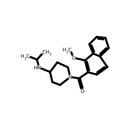 COc1c(C(=O)N2CCC(NC(C)C)CC2)ccc2ccccc12